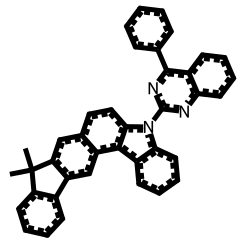 CC1(C)c2ccccc2-c2cc3c(ccc4c3c3ccccc3n4-c3nc(-c4ccccc4)c4ccccc4n3)cc21